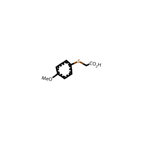 COc1ccc(SCC(=O)O)cc1